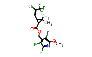 COc1nc(F)c(F)c(COC(=O)C2C(/C=C(/Cl)C(F)(F)F)C2(C)C)c1F